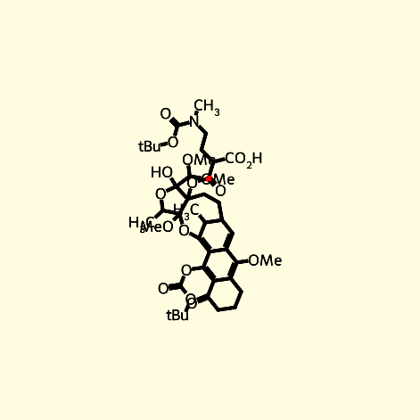 COc1c2c(c(OC(=O)OC(C)(C)C)c3c1=CC1CCC4(OC(=O)C(CCN(C)C(=O)OC(C)(C)C)C(=O)O)C(O)(C(OC)OC)OC(C)C4(OC)OC=3C1C)C(=O)CCC2